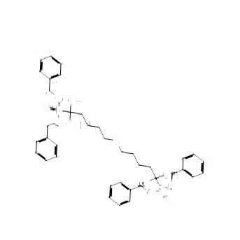 CC(C)(CCCCOCCCCC(C)(C)P(=O)(OCc1ccccc1)OCc1ccccc1)P(=O)(OCc1ccccc1)OCc1ccccc1